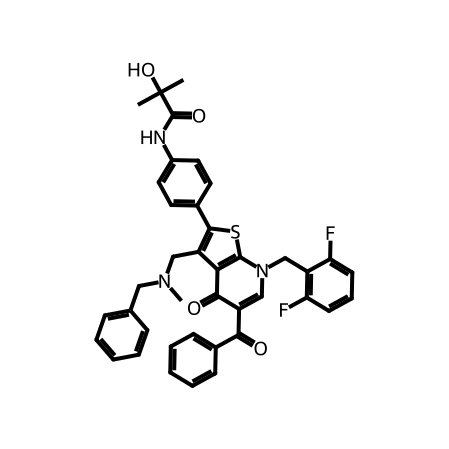 CN(Cc1ccccc1)Cc1c(-c2ccc(NC(=O)C(C)(C)O)cc2)sc2c1c(=O)c(C(=O)c1ccccc1)cn2Cc1c(F)cccc1F